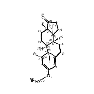 CCCCCOC1=C[C@H](C)[C@@]2(C)C(=C1)CC[C@@H]1[C@@H]2CC[C@]2(C)C(=O)CC[C@@H]12